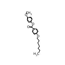 CCCCCCCOc1ccc(C(=O)Oc2ccc(OC)cc2)cc1